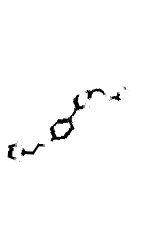 Cn1ccnc1CCOc1ccc(-c2csc(CNC(=O)OC(C)(C)C)n2)cc1